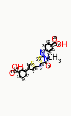 CN1C(=O)/C(=C/c2cc(C3=CC(C(=O)O)=CCC3)cs2)S/C1=N/c1ccc(C(=O)O)cc1